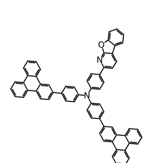 c1ccc2c(c1)oc1nc(-c3ccc(N(c4ccc(-c5ccc6c7ccccc7c7ccccc7c6c5)cc4)c4ccc(-c5ccc6c7ccccc7c7ccccc7c6c5)cc4)cc3)ccc12